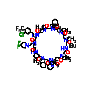 CC[C@H](C)[C@@H]1NC(=O)[C@H](CC(C)C)N(C)C(=O)C[C@@H](C(=O)N2CCCCC2)N(C)C(=O)[C@H](C2CCCCC2)N(C)C(=O)C2(CCCC2)NC(=O)CN(CCN2CCC(F)(F)CC2)C(=O)[C@H](CCc2ccc(C(F)(F)F)c(Cl)c2)NC(=O)CN(C)C(=O)[C@H](CC2CCCCC2)N(C)C(=O)CN(C)C(=O)CN(C)C1=O